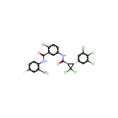 O=C(Nc1ccc(F)cc1[N+](=O)[O-])c1cc(NC(=O)[C@H]2[C@H](c3cc(Cl)c(Cl)c(Cl)c3)C2(Cl)Cl)ccc1Cl